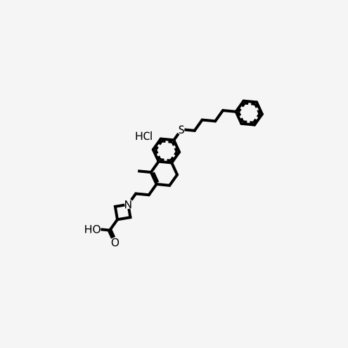 CC1=C(CCN2CC(C(=O)O)C2)CCc2cc(SCCCCc3ccccc3)ccc21.Cl